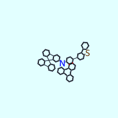 c1ccc2c(c1)-c1ccccc1C21c2ccccc2-c2ccc(N(c3ccc(-c4ccc5sc6ccccc6c5c4)cc3)c3cccc4c5ccccc5c5ccccc5c34)cc21